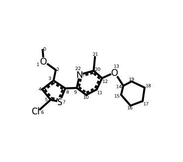 COCc1cc(Cl)sc1-c1ccc(OC2CCCCC2)c(C)n1